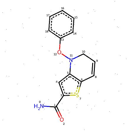 NC(=O)c1cc2c(s1)C=CCN2Oc1ccccc1